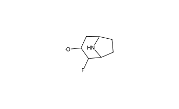 [O]C1CC2CCC(N2)C1F